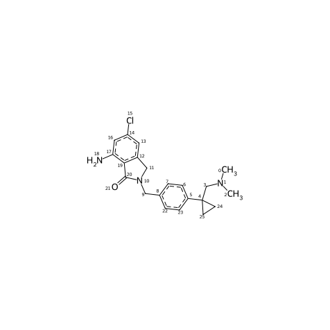 CN(C)CC1(c2ccc(CN3Cc4cc(Cl)cc(N)c4C3=O)cc2)CC1